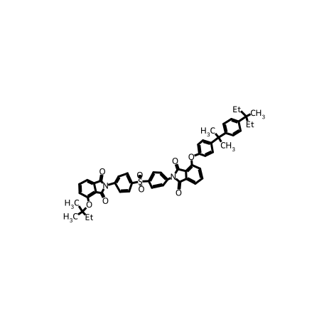 CCC(C)(C)Oc1cccc2c1C(=O)N(c1ccc(S(=O)(=O)c3ccc(N4C(=O)c5cccc(Oc6ccc(C(C)(C)c7ccc(C(C)(CC)CC)cc7)cc6)c5C4=O)cc3)cc1)C2=O